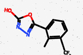 Cc1c(-c2nnc(O)o2)cccc1C(F)(F)F